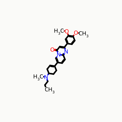 CCCN(C)C1CC=C(c2ccc3nc(-c4ccc(OC)c(OC)c4)cc(=O)n3c2)CC1